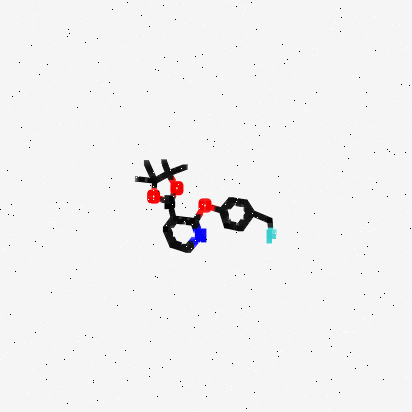 CC1(C)OB(c2cccnc2Oc2ccc(CF)cc2)OC1(C)C